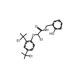 CCC(Oc1ccc(C(C)(C)CC)cc1C(C)(C)CC)C(=O)NCc1ccccc1O